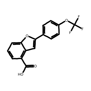 O=C(O)c1cccc2oc(-c3ccc(OC(F)(F)F)cc3)cc12